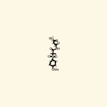 COc1ccc(S(=O)(=O)C(C)(C)C(=O)Nc2cc(C(C)(C)C)no2)cc1